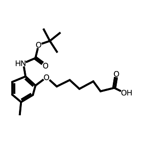 Cc1ccc(NC(=O)OC(C)(C)C)c(OCCCCCC(=O)O)c1